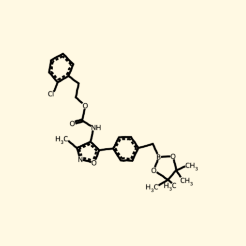 Cc1noc(-c2ccc(CB3OC(C)(C)C(C)(C)O3)cc2)c1NC(=O)OCCc1ccccc1Cl